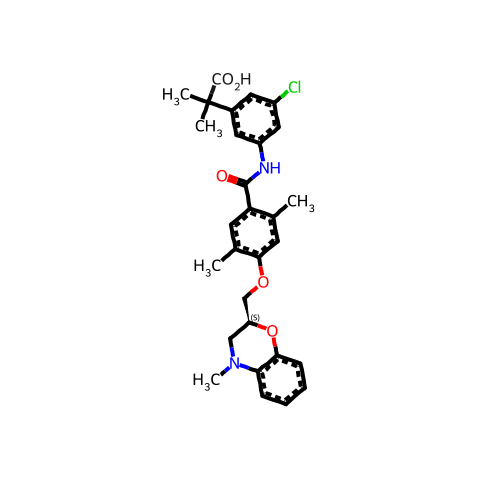 Cc1cc(C(=O)Nc2cc(Cl)cc(C(C)(C)C(=O)O)c2)c(C)cc1OC[C@@H]1CN(C)c2ccccc2O1